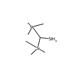 C[Si](C)(C)C([SiH3])[Si](C)(C)C